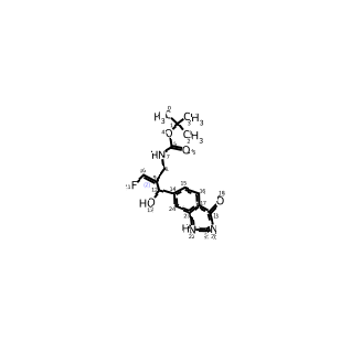 CC(C)(C)OC(=O)NC/C(=C/F)C(O)c1ccc2c(=O)nc[nH]c2c1